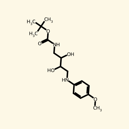 COc1ccc(NCC(O)C(O)CNC(=O)OC(C)(C)C)cc1